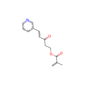 C=C(C)C(=O)OCCC(=O)C=Cc1cccnc1